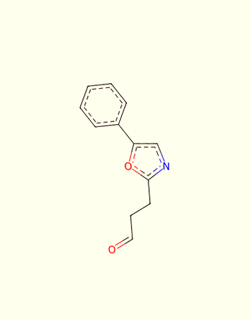 O=CCCc1ncc(-c2ccccc2)o1